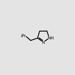 CC(C)CC1=NNCC1